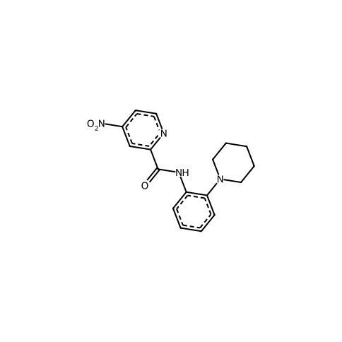 O=C(Nc1ccccc1N1CCCCC1)c1cc([N+](=O)[O-])ccn1